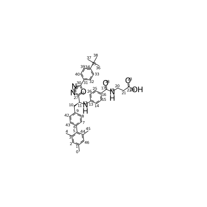 Cc1cc(C)c(-c2ccc(C[C@H](Nc3ccc(C(=O)NCCC(=O)O)cc3)c3nnc(-c4ccc(C(C)(C)C)cc4)o3)cc2)c(C)c1